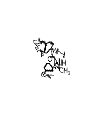 CN(NC(=O)Nc1ccc(Cl)c(C(F)(F)F)c1)c1cccc(Br)c1